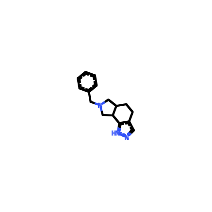 c1ccc(CN2CC3CCc4cn[nH]c4C3C2)cc1